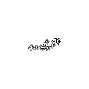 CC(Cn1cnnn1)Oc1cc(-c2cnc(Nc3cn(C4CCC(N5CCOCC5)CC4)nc3OCC3CCOC3)nc2)ccc1C#N